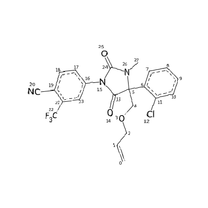 C=CCOCC1(c2ccccc2Cl)C(=O)N(c2ccc(C#N)c(C(F)(F)F)c2)C(=O)N1C